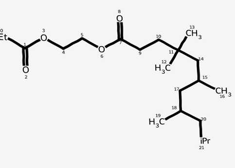 CCC(=O)OCCOC(=O)CCC(C)(C)CC(C)CC(C)CC(C)C